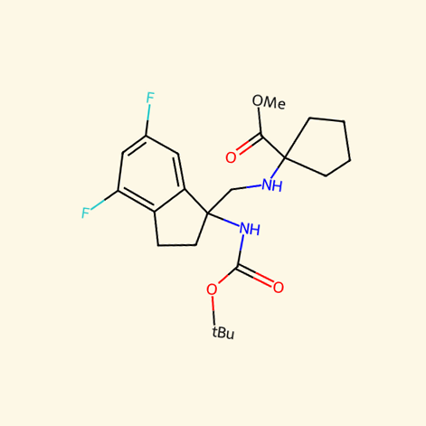 COC(=O)C1(NCC2(NC(=O)OC(C)(C)C)CCc3c(F)cc(F)cc32)CCCC1